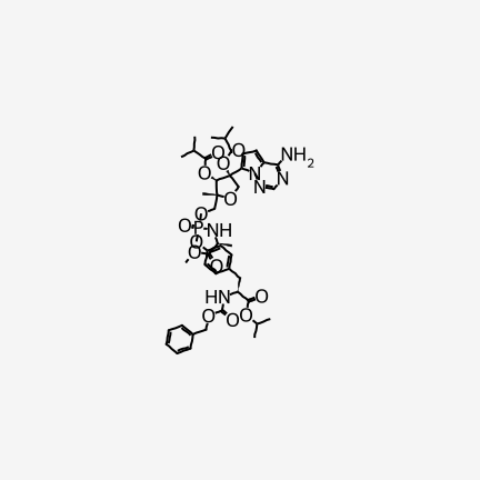 COC(=O)[C@H](C)NP(=O)(OC[C@@]1(C)OC[C@@](OC(=O)C(C)C)(c2ccc3c(N)ncnn23)[C@@H]1OC(=O)C(C)C)Oc1ccc(C[C@H](NC(=O)OCc2ccccc2)C(=O)OC(C)C)cc1